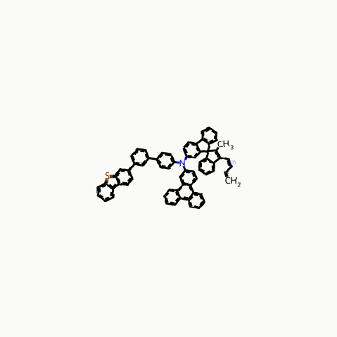 C=C/C=C\C1=C(C)C2(c3ccccc31)c1ccccc1-c1ccc(N(c3ccc(-c4cccc(-c5ccc6c(c5)sc5ccccc56)c4)cc3)c3ccc4c5ccccc5c5ccccc5c4c3)cc12